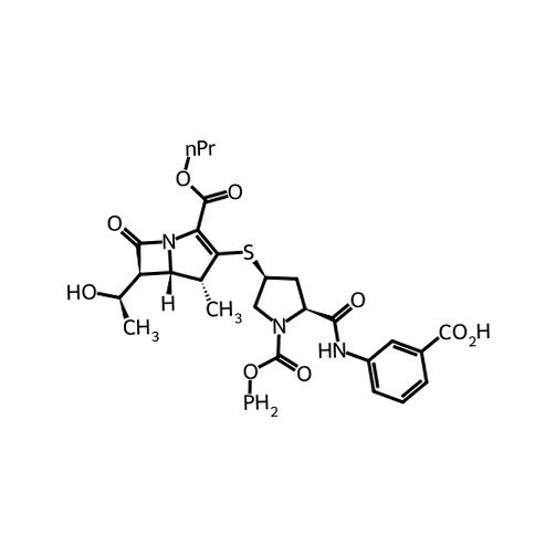 CCCOC(=O)C1=C(S[C@H]2C[C@@H](C(=O)Nc3cccc(C(=O)O)c3)N(C(=O)OP)C2)[C@H](C)[C@@H]2[C@@H]([C@@H](C)O)C(=O)N12